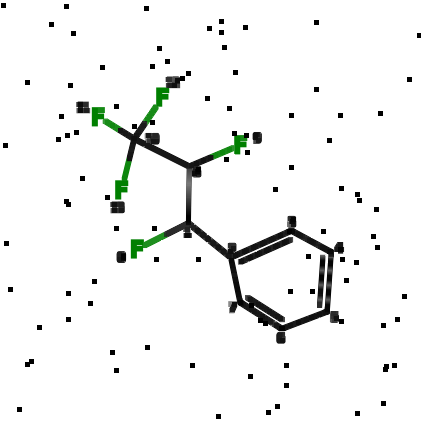 FC(c1ccccc1)C(F)C(F)(F)F